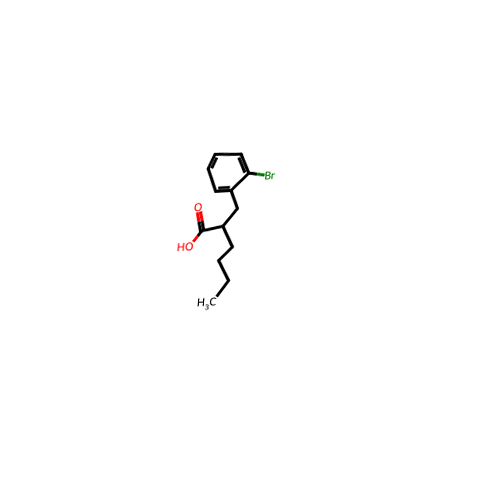 CCCCC(Cc1ccccc1Br)C(=O)O